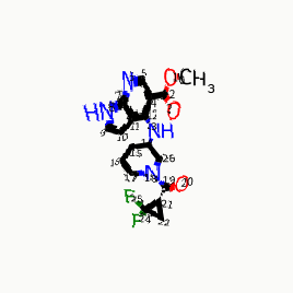 COC(=O)c1cnc2[nH]ccc2c1N[C@@H]1CCCN(C(=O)[C@@H]2CC2(F)F)C1